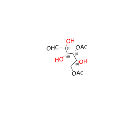 CC(=O)OC[C@@H](O)[C@@H](OC(C)=O)[C@H](O)[C@@H](O)C=O